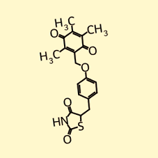 CC1=C(C)C(=O)C(COc2ccc(CC3SC(=O)NC3=O)cc2)=C(C)C1=O